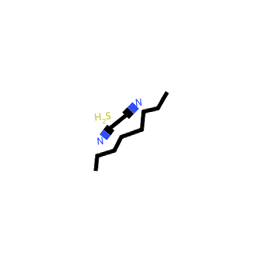 CCCCCCCC.N#CC#N.S